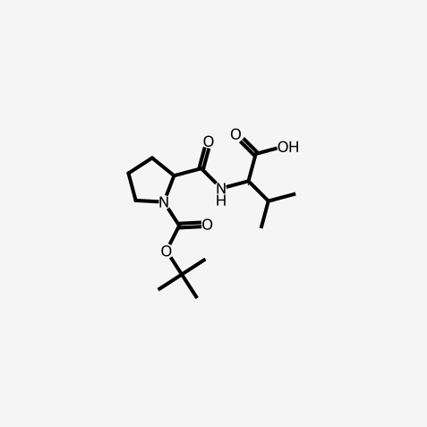 C[C](C)[C](NC(=O)C1CCCN1C(=O)OC(C)(C)C)C(=O)O